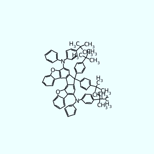 CC(C)(C)c1ccc(N(c2ccccc2)c2cc3c(c4c2oc2ccccc24)-c2c(cc(N(c4ccccc4)c4ccc(C(C)(C)C)cc4)c4c2oc2ccccc24)C3(c2ccc(C(C)(C)C)cc2)c2ccc(C(C)(C)C)cc2)cc1